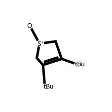 CC(C)(C)C1=C(C(C)(C)C)C[S+]([O-])C1